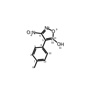 Cc1ccc(-c2c([N+](=O)[O-])no[n+]2O)cc1